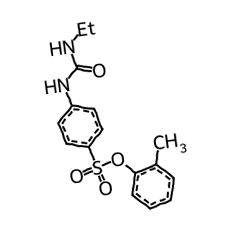 CCNC(=O)Nc1ccc(S(=O)(=O)Oc2ccccc2C)cc1